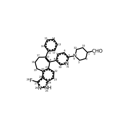 O=CC1CCN(c2ccc(C3=C(c4ccccc4)CCCc4c3ccc3[nH]nc(F)c43)cn2)CC1